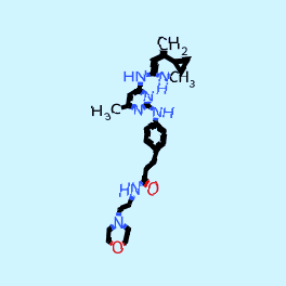 C=C(/C=C(\NC)Nc1cc(C)nc(Nc2ccc(CCC(=O)NCCN3CCOCC3)cc2)n1)C1CC1